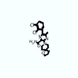 Cc1nc(N2CCC3(CCCO3)CC2)c(C(N)=O)nc1-c1cccc(Cl)c1Cl